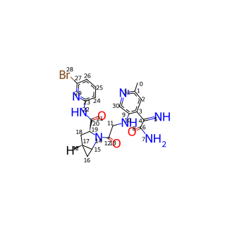 Cc1cc(C(=N)C(N)=O)c(NCC(=O)N2C3C[C@@H]3C[C@H]2C(=O)Nc2cccc(Br)n2)cn1